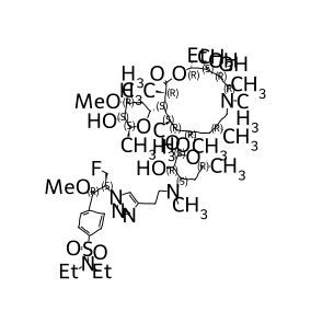 CC[C@H]1OC(=O)[C@H](C)[C@@H](C2C[C@@](C)(OC)[C@@H](O)[C@H](C)O2)[C@H](C)[C@@H](O[C@@H]2O[C@H](C)C[C@H](N(C)CCc3cn([C@H](CF)[C@H](OC)c4ccc(S(=O)(=O)N(CC)CC)cc4)nn3)[C@H]2O)[C@](C)(O)C[C@@H](C)CN(C)[C@H](C)[C@@H](O)[C@]1(C)O